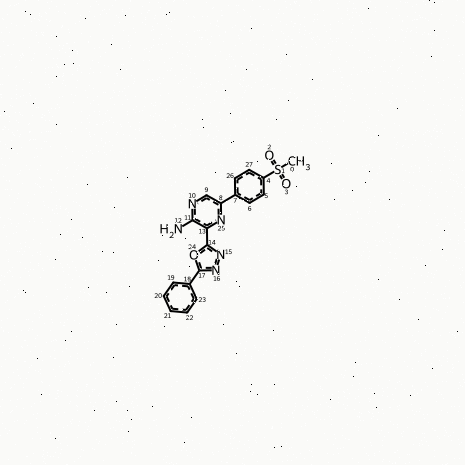 CS(=O)(=O)c1ccc(-c2cnc(N)c(-c3nnc(-c4ccccc4)o3)n2)cc1